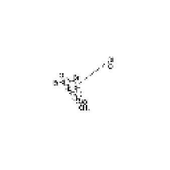 CC(=O)O[C@H]1CC[C@H]2[C@H]3[C@H](CC[C@]12C)[C@H]1CC(Br)C(=O)C=C1C(Br)[C@H]3CCCCCCCCCCC(=O)O